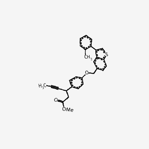 CC#CC(CC(=O)OC)c1ccc(OCc2ccc3scc(-c4ccccc4C)c3c2)cc1